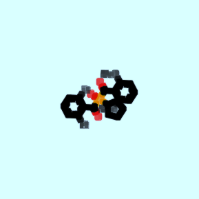 CCc1cccc(CC)c1C(=O)P(=O)(C(=O)c1c(OC)cccc1OC)C1CCCC1